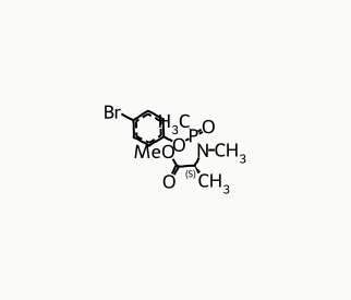 COC(=O)[C@H](C)N(C)P(C)(=O)Oc1ccc(Br)cc1